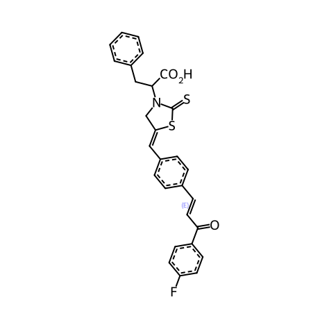 O=C(/C=C/c1ccc(C=C2CN(C(Cc3ccccc3)C(=O)O)C(=S)S2)cc1)c1ccc(F)cc1